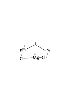 [CH2]CCCC(C)C.[Cl][Mg][Cl]